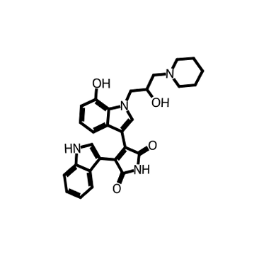 O=C1NC(=O)C(c2cn(CC(O)CN3CCCCC3)c3c(O)cccc23)=C1c1c[nH]c2ccccc12